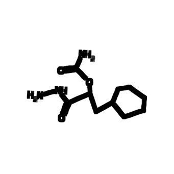 NNC(=O)C(CC1CCCCC1)OC(N)=O